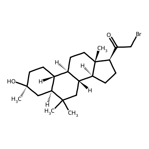 CC1(C)C[C@@H]2[C@H](CC[C@]3(C)[C@@H](C(=O)CBr)CC[C@@H]23)[C@H]2CC[C@](C)(O)C[C@@H]21